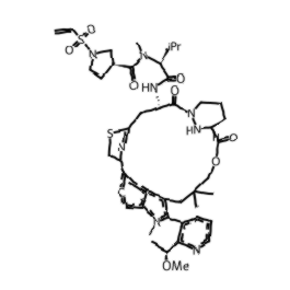 C=CS(=O)(=O)N1CC[C@H](C(=O)N(C)[C@H](C(=O)N[C@H]2CC3=NC(CS3)c3ccc4c(c3)c(c(-c3cccnc3[C@H](C)OC)n4C)CC(C)(C)COC(=O)[C@@H]3CCCN(N3)C2=O)C(C)C)C1